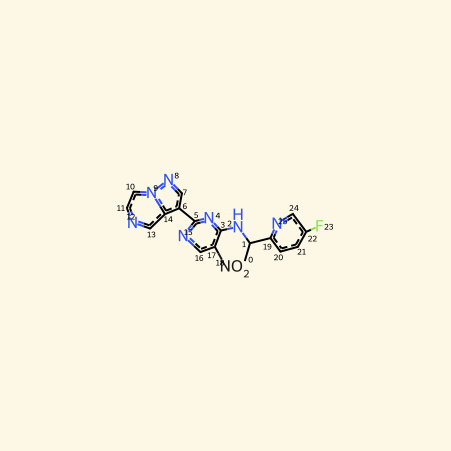 CC(Nc1nc(-c2cnn3ccncc23)ncc1[N+](=O)[O-])c1ccc(F)cn1